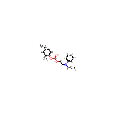 CCN(CCOC(=O)Oc1ccc(C)cc1C)c1ccccc1